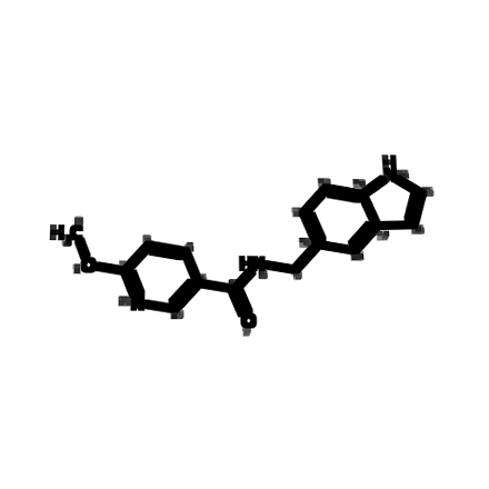 COc1ccc(C(=O)NCc2ccc3[nH]ccc3c2)cn1